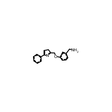 NCc1cccc(OCC2=NC(c3ccccc3)=CC2)c1